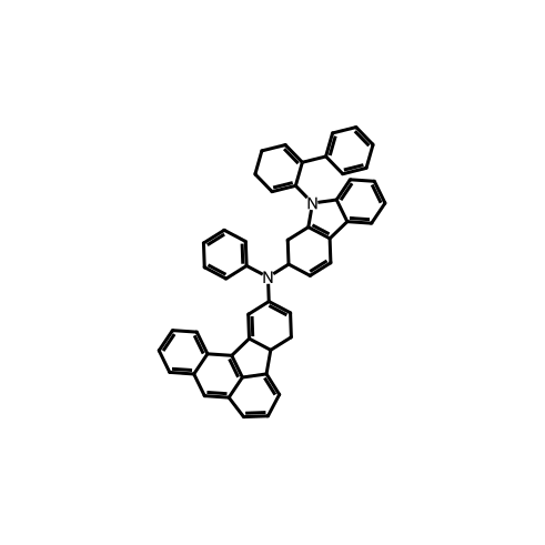 C1=CC(N(C2=CCC3C(=C2)c2c4ccccc4cc4cccc3c24)c2ccccc2)Cc2c1c1ccccc1n2C1=CCCC=C1c1ccccc1